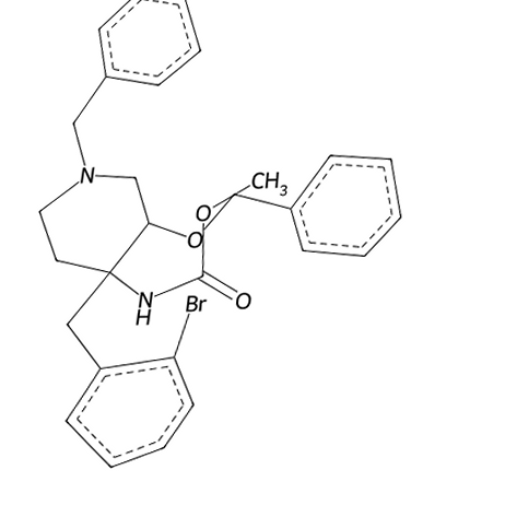 COC(=O)NC1(Cc2ccccc2Br)CCN(Cc2ccccc2)CC1OCc1ccccc1